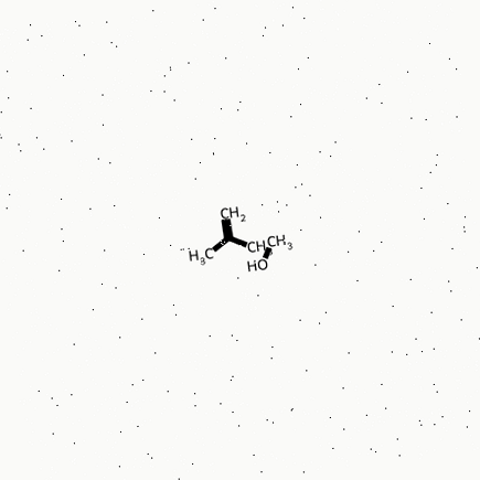 C=C(C)C.CO